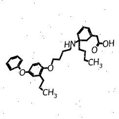 CCCCC1(NCCCCOc2ccc(Oc3ccccc3)cc2CCC)C=CC=C(CC(=O)O)C1